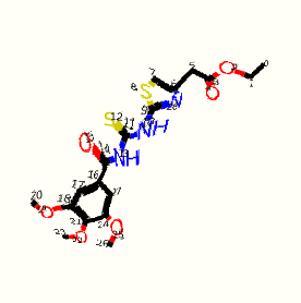 CCOC(=O)Cc1csc(NC(=S)NC(=O)c2cc(OC)c(OC)c(OC)c2)n1